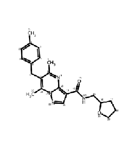 Cc1ccc(Cc2c(C)nc3c(C(=O)NCC4CCCO4)cnn3c2C)cc1